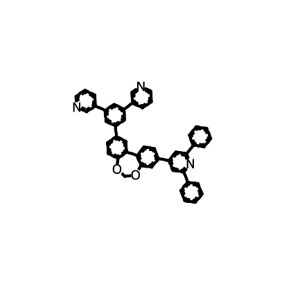 c1ccc(-c2cc(-c3ccc4c(c3)OCOc3ccc(-c5cc(-c6cccnc6)cc(-c6cccnc6)c5)cc3-4)cc(-c3ccccc3)n2)cc1